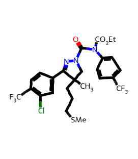 CCOC(=O)N(C(=O)N1CC(C)(CCCSC)C(c2ccc(C(F)(F)F)c(Cl)c2)=N1)c1ccc(C(F)(F)F)cc1